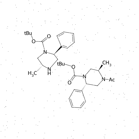 CC(=O)N1C[C@H](c2ccccc2)N(C(=O)OC(C)(C)C)C[C@H]1C.C[C@@H]1CN(C(=O)OC(C)(C)C)[C@@H](c2ccccc2)CN1